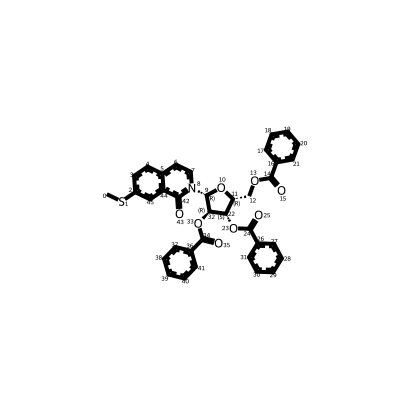 CSc1ccc2ccn([C@@H]3O[C@H](COC(=O)c4ccccc4)[C@H](OC(=O)c4ccccc4)[C@H]3OC(=O)c3ccccc3)c(=O)c2c1